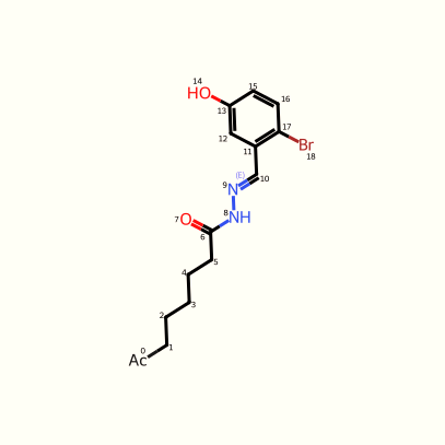 CC(=O)CCCCCC(=O)N/N=C/c1cc(O)ccc1Br